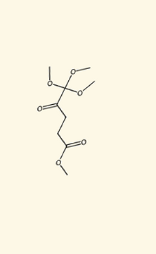 COC(=O)CCC(=O)C(OC)(OC)OC